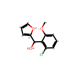 COc1cccc(Cl)c1C(O)c1ccco1